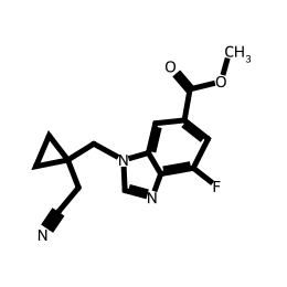 COC(=O)c1cc(F)c2ncn(CC3(CC#N)CC3)c2c1